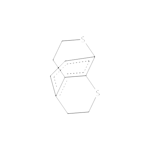 c1cc2c3c(c1CCS3)CCS2